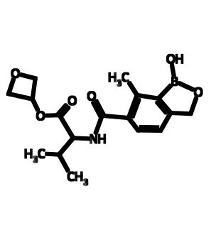 Cc1c(C(=O)NC(C(=O)OC2COC2)C(C)C)ccc2c1B(O)OC2